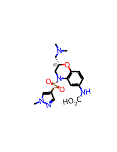 CN(C)C[C@H]1CN(S(=O)(=O)c2cnn(C)c2)c2cc(NC(=O)O)ccc2O1